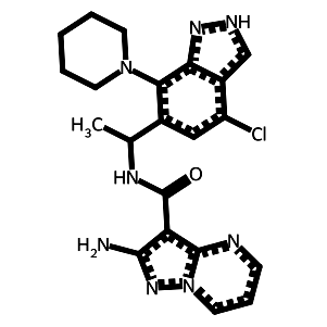 CC(NC(=O)c1c(N)nn2cccnc12)c1cc(Cl)c2c[nH]nc2c1N1CCCCC1